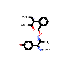 CO/C=C(\C(=O)OC)c1ccccc1CO/N=C(C)/C(=N\OC)c1ccc(Br)cc1